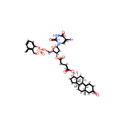 Cc1cccc2c1COP(=O)(OC[C@H]1O[C@@H](n3cc(I)c(=O)[nH]c3=O)C[C@H]1OC(=O)CCC(=O)O[C@H]1CC[C@H]3[C@@H]4CC[C@H]5CC(=O)CC[C@]5(C)C4CC[C@]13C)O2